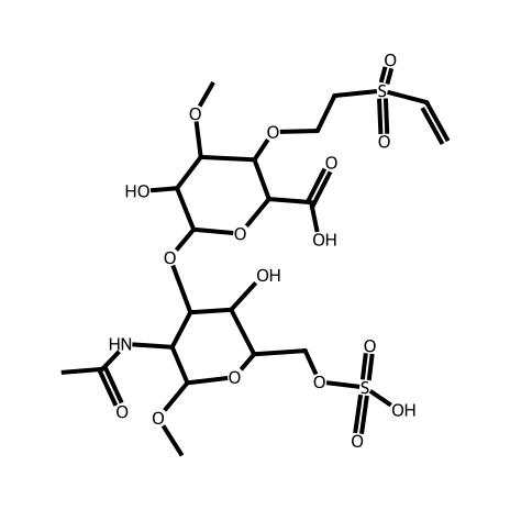 C=CS(=O)(=O)CCOC1C(C(=O)O)OC(OC2C(O)C(COS(=O)(=O)O)OC(OC)C2NC(C)=O)C(O)C1OC